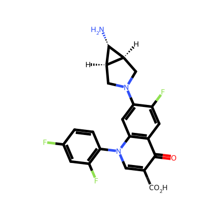 N[C@@H]1[C@H]2CN(c3cc4c(cc3F)c(=O)c(C(=O)O)cn4-c3ccc(F)cc3F)C[C@@H]12